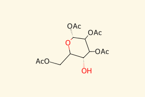 CC(=O)OCC1O[C@H](OC(C)=O)C(OC(C)=O)C(OC(C)=O)[C@@H]1O